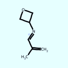 C=C(C)/C=N/C1COC1